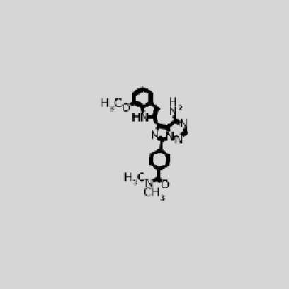 COc1cccc2cc(-c3nc(C4CCC(C(=O)N(C)C)CC4)n4ncnc(N)c34)[nH]c12